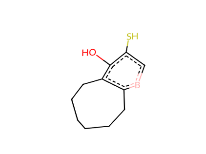 Oc1c(S)cbc2c1CCCCCC2